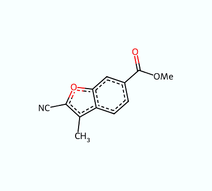 COC(=O)c1ccc2c(C)c(C#N)oc2c1